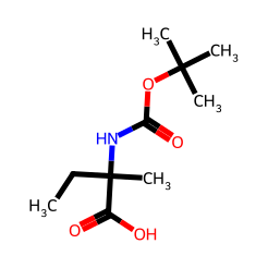 CCC(C)(NC(=O)OC(C)(C)C)C(=O)O